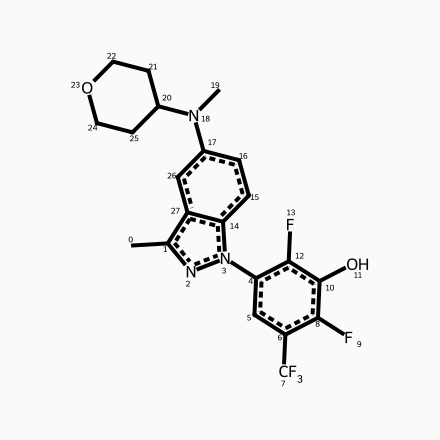 Cc1nn(-c2cc(C(F)(F)F)c(F)c(O)c2F)c2ccc(N(C)C3CCOCC3)cc12